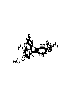 Cc1cc(C)n2c(-c3ccc(F)cc3)c(-c3ccc(S(C)(=O)=O)cc3)nc2n1